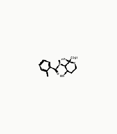 CCCC1(C(=O)O)OCCC(O)C1N(C)C(=O)c1ccccc1C